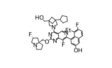 CCc1c(F)ccc2cc(O)cc(-c3ncc4c(N5CC6(CO)CC(C7CCCC7)(C5)C6)nc(OC[C@@]56CCCN5C[C@H](F)C6)nc4c3F)c12